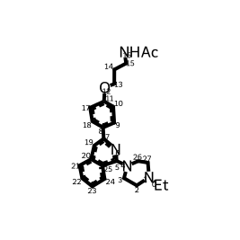 CCN1CCN(c2nc(-c3ccc(OCCCNC(C)=O)cc3)cc3ccccc23)CC1